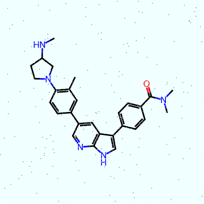 CNC1CCN(c2ccc(-c3cnc4[nH]cc(-c5ccc(C(=O)N(C)C)cc5)c4c3)cc2C)C1